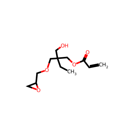 C=CC(=O)OCC(CC)(CO)COCC1CO1